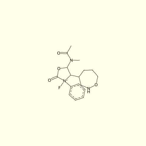 CC(=O)N(C)C1OC(=O)[N+](F)(c2ccccc2)C1C1CCCONC1